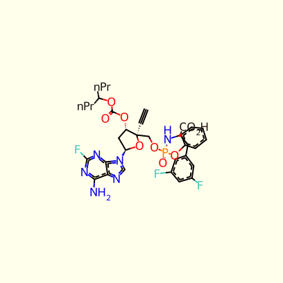 C#C[C@]1(CO[P@@](=O)(NC(Cc2cc(F)cc(F)c2)C(=O)O)Oc2ccccc2)O[C@@H](n2cnc3c(N)nc(F)nc32)C[C@@H]1OC(=O)OC(CCC)CCC